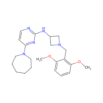 COc1cccc(OC)c1CN1CC(Nc2nccc(N3CCCCCC3)n2)C1